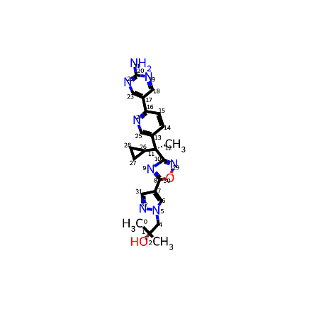 CC(C)(O)Cn1cc(-c2nc([C@](C)(c3ccc(-c4cnc(N)nc4)nc3)C3CC3)no2)cn1